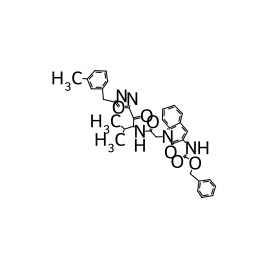 Cc1cccc(Cc2nnc(C(=O)[C@@H](NC(=O)Cn3c(=O)c(NC(=O)OCc4ccccc4)cc4ccccc43)C(C)C)o2)c1